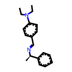 CCN(CC)c1ccc(C=N[C@H](C)c2ccccc2)cc1